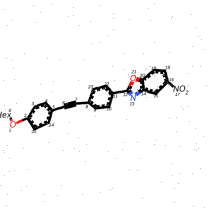 CCCCCCOc1ccc(C#Cc2ccc(-c3nc4cc([N+](=O)[O-])ccc4o3)cc2)cc1